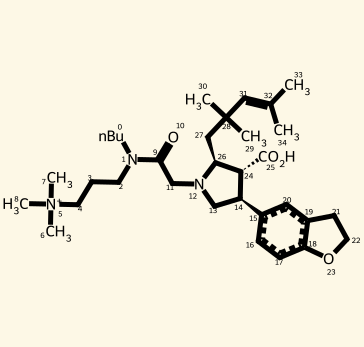 CCCCN(CCC[N+](C)(C)C)C(=O)CN1C[C@H](c2ccc3c(c2)CCO3)[C@@H](C(=O)O)[C@@H]1CC(C)(C)C=C(C)C